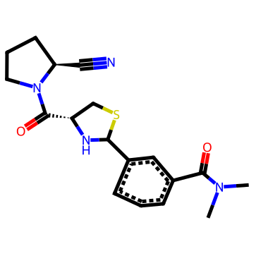 CN(C)C(=O)c1cccc(C2N[C@H](C(=O)N3CCC[C@H]3C#N)CS2)c1